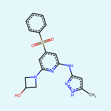 Cc1cc(Nc2cc(S(=O)(=O)c3ccccc3)cc(N3CC(O)C3)n2)n[nH]1